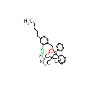 CCCCCc1ccc(CO[Si](c2ccccc2)(c2ccccc2)C(C)(C)C)c(Cl)c1